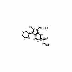 O=C(O)Cn1c(Br)c(C2CCCCC2)c2ccc(C(=O)CO)cc21